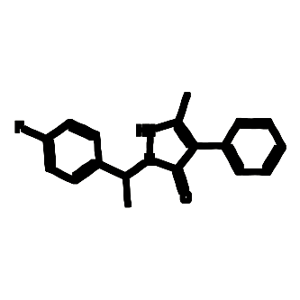 Cc1[nH]n(C(C)c2ccc(F)cc2)c(=O)c1-c1ccccc1